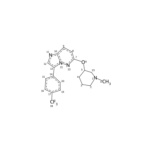 CN1CCCC(Oc2ccc3ncc(-c4ccc(C(F)(F)F)cc4)n3n2)C1